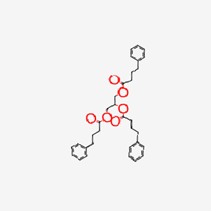 O=C(CCCc1ccccc1)OCC(COC(=O)CCCc1ccccc1)OC(=O)CCCc1ccccc1